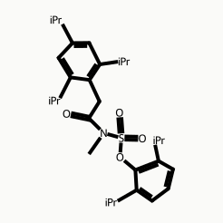 CC(C)c1cc(C(C)C)c(CC(=O)N(C)S(=O)(=O)Oc2c(C(C)C)cccc2C(C)C)c(C(C)C)c1